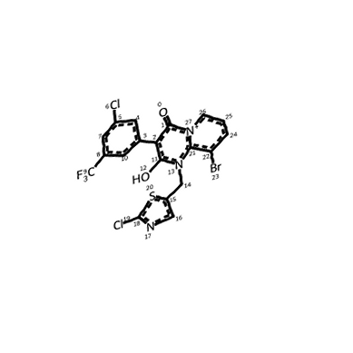 O=c1c(-c2cc(Cl)cc(C(F)(F)F)c2)c(O)n(Cc2cnc(Cl)s2)c2c(Br)ccc[n+]12